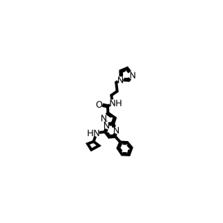 O=C(NCCCn1ccnc1)c1cc2nc(-c3ccccc3)cc(NC3CCC3)n2n1